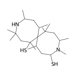 CC1CC(C)C2(C(C)CC(S)N(C)C(C)CC2(C)C)C(C)(S)CC(C)(C)N1